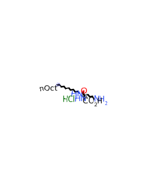 CCCCCCCC/C=C\CCCCCCCCNC(=O)[C@@H](CCCCN)NC(=O)O.Cl